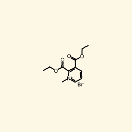 CCOC(=O)c1ccc[n+](C)c1C(=O)OCC.[Br-]